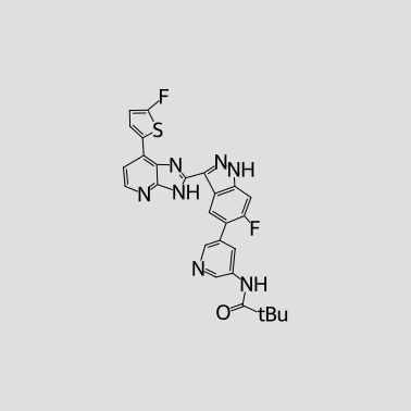 CC(C)(C)C(=O)Nc1cncc(-c2cc3c(-c4nc5c(-c6ccc(F)s6)ccnc5[nH]4)n[nH]c3cc2F)c1